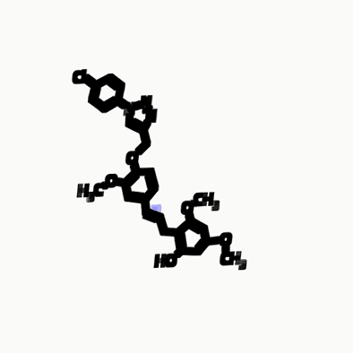 COc1cc(O)c(C/C=C/c2ccc(OCc3cn(-c4ccc(Cl)cc4)nn3)c(OC)c2)c(OC)c1